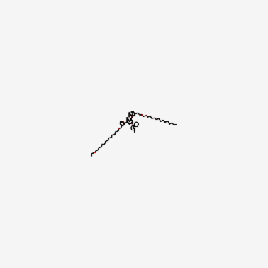 CCCCCCCCCCCCCCCCCCCc1cccc(-c2cc(C(=O)OCC)cc(-c3cc(CCCCCCCCCCCCCCCCCCC)ccn3)n2)c1